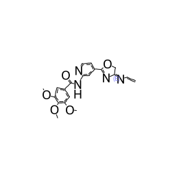 C=C/N=C1\COC(c2ccnc(NC(=O)c3cc(OC)c(OC)c(OC)c3)c2)=N1